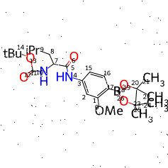 COc1cc(NC(=O)C(CC(C)C)NC(=O)OC(C)(C)C)ccc1B1OC(C)(C)C(C)(C)O1